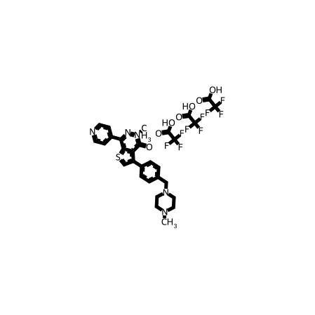 CN1CCN(Cc2ccc(-c3csc4c(-c5ccncc5)nn(C)c(=O)c34)cc2)CC1.O=C(O)C(F)(F)F.O=C(O)C(F)(F)F.O=C(O)C(F)(F)F